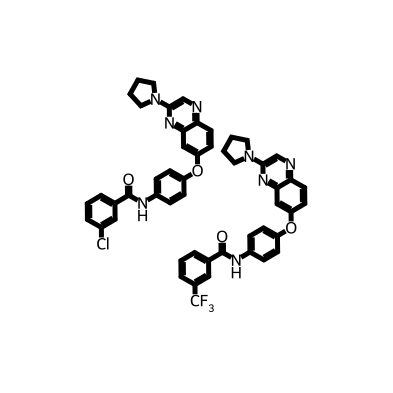 O=C(Nc1ccc(Oc2ccc3ncc(N4CCCC4)nc3c2)cc1)c1cccc(C(F)(F)F)c1.O=C(Nc1ccc(Oc2ccc3ncc(N4CCCC4)nc3c2)cc1)c1cccc(Cl)c1